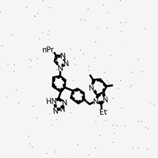 CCCc1cn(-c2ccc(-c3nnn[nH]3)c(-c3ccc(Cn4c(CC)nc5c(C)cc(C)nc54)cc3)c2)nn1